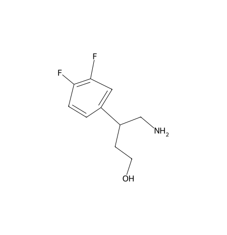 NCC(CCO)c1ccc(F)c(F)c1